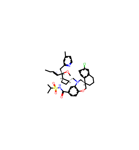 CC/C=C/[C@](Cc1cc(C)ccn1)(OC)[C@@H]1CC[C@H]1CN1C[C@@]2(CCCc3cc(Cl)ccc32)COc2ccc(C(=O)NS(=O)(=O)C(C)C)cc21